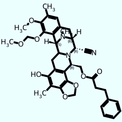 COCOc1c(OC)c(C)cc2c1[C@H]1C3Cc4c(O)c(C)c5c(c4[C@H](COC(=O)CCc4ccccc4)N3[C@@H](C#N)[C@@H](C2)N1C)OCO5